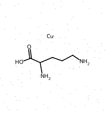 NCCCC(N)C(=O)O.[Cu]